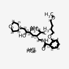 COCCCCOc1ccccc1C(=O)NC[C@@H](C[C@H](N)[C@@H](O)CN1CCOCC1)C(C)C.Cl.Cl